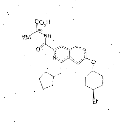 CC[C@H]1CC[C@H](Oc2ccc3cc(C(=O)N[C@@H](C(=O)O)C(C)(C)C)nc(CC4CCCC4)c3c2)CC1